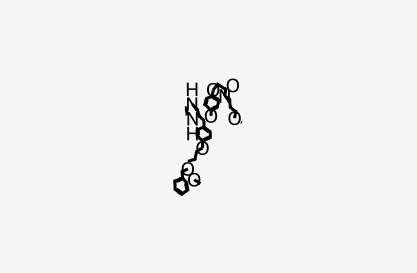 COCCCN1C(=O)COc2ccc(OC(c3ccc(OCCCOCc4ccccc4OC)cc3)C3CNCCN3)cc21